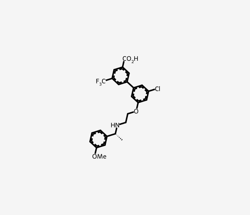 COc1cccc([C@@H](C)NCCOc2cc(Cl)cc(-c3cc(C(=O)O)cc(C(F)(F)F)c3)c2)c1